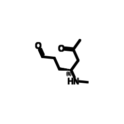 CN[C@@H](CCC=O)CC(C)=O